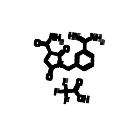 N=C(N)c1cccc(CN2C(=O)C[C@@H](C(N)=O)C2=O)c1.O=C(O)C(F)(F)F